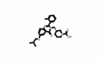 Cc1ccccc1-c1nc2ccc(OCC(C)C)cc2c(=O)n1C[C@@H]1CCCN(C(=O)O)C1